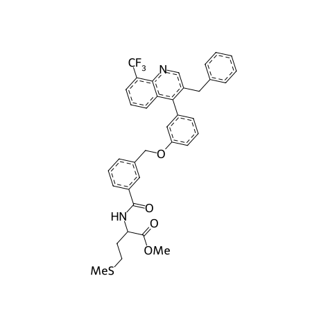 COC(=O)C(CCSC)NC(=O)c1cccc(COc2cccc(-c3c(Cc4ccccc4)cnc4c(C(F)(F)F)cccc34)c2)c1